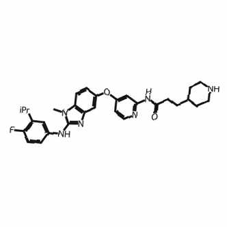 CC(C)c1cc(Nc2nc3cc(Oc4ccnc(NC(=O)CCC5CCNCC5)c4)ccc3n2C)ccc1F